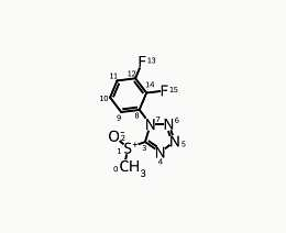 C[S+]([O-])c1nnnn1-c1cccc(F)c1F